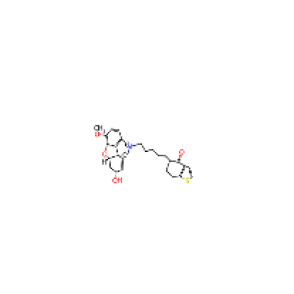 COc1ccc2c3c1O[C@H]1C[C@@H](O)C=C[C@]31CCN(CCCCCC1CCc3sccc3C1=O)C2